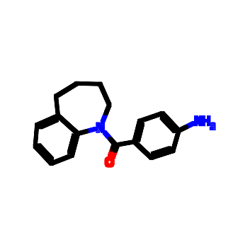 Nc1ccc(C(=O)N2CCCCc3ccccc32)cc1